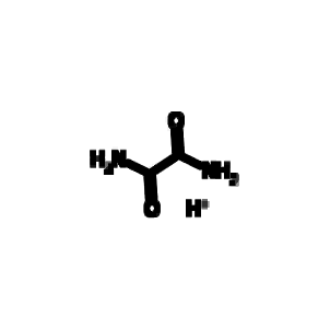 NC(=O)C(N)=O.[H+]